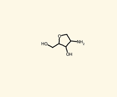 NC1COC(CO)C1O